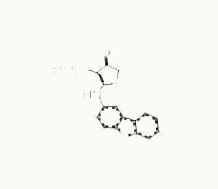 CCOC(=O)C1=C(Nc2ccc3sc4ccccc4c3c2)SCC1=O